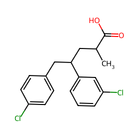 CC(CC(Cc1ccc(Cl)cc1)c1cccc(Cl)c1)C(=O)O